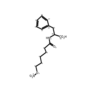 O=C(CCCCCO[N+](=O)[O-])NC(Cc1ccccc1)C(=O)O